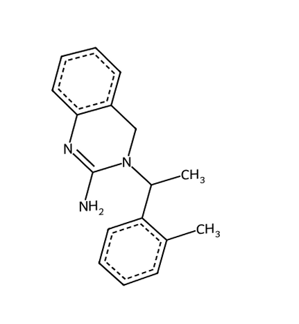 Cc1ccccc1C(C)N1Cc2ccccc2N=C1N